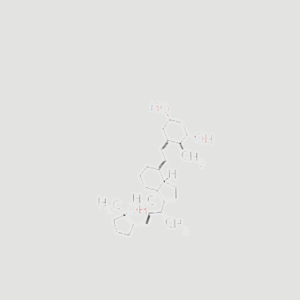 C=C1/C(=C\C=C2/CCC[C@]3(C)[C@@H]([C@H](C)/C=C/[C@@H]4CCCC4(C)O)CC[C@@H]23)C[C@@H](O)C[C@@H]1O